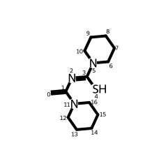 C=C(/N=C(\S)N1CCCCC1)N1CCCCC1